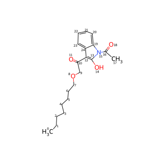 CCCCCCCCOCC(=O)c1c(O)n(C(C)=O)c2ccccc12